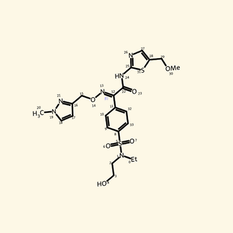 CCN(CCO)S(=O)(=O)c1ccc(/C(=N\OCc2ccn(C)n2)C(=O)Nc2ncc(COC)s2)cc1